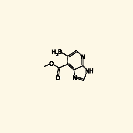 Bc1cnc2[nH]cnc2c1C(=O)OC